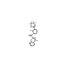 COc1cccnc1CC(=O)Nc1cccc(B2OC(C)(C)C(C)(C)O2)c1C